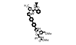 COCC1C[C@@H](c2ncc(-c3ccc(-c4ccc(-c5ccc([C@@H]6C[C@H](C)CN6C(=O)[C@H](NC(=O)C6CC6)c6ccccc6)[nH]5)cc4)cc3)[nH]2)N(C(=O)[C@@H](NC(=O)OC)C(C)C)C1